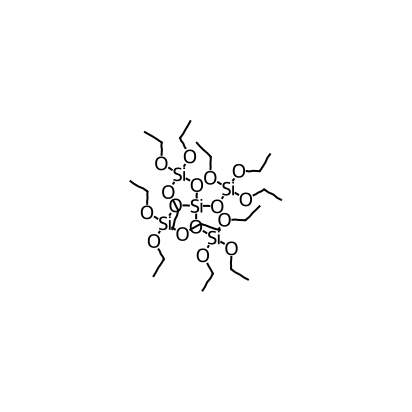 CCO[Si](OCC)(OCC)O[Si](O[Si](OCC)(OCC)OCC)(O[Si](OCC)(OCC)OCC)O[Si](OCC)(OCC)OCC